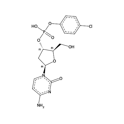 Nc1ccn([C@H]2C[C@H](OP(=O)(O)Oc3ccc(Cl)cc3)[C@@H](CO)O2)c(=O)n1